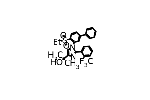 CCS(=O)(=O)c1ccc(-c2ccccc2)cc1-n1cc(C(C)(C)O)nc1-c1ccccc1C(F)(F)F